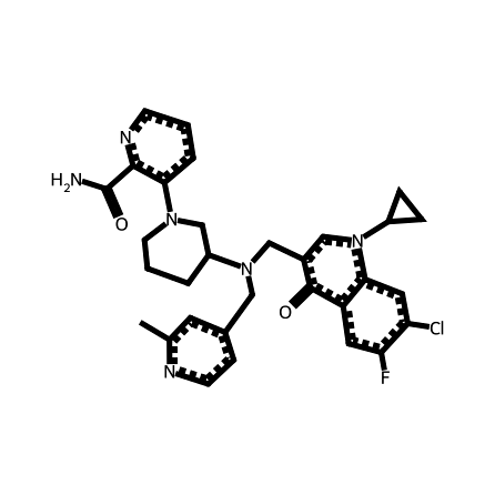 Cc1cc(CN(Cc2cn(C3CC3)c3cc(Cl)c(F)cc3c2=O)C2CCCN(c3cccnc3C(N)=O)C2)ccn1